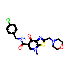 Cn1cc(C(=O)NCc2ccc(Cl)cc2)c(=O)c2nc(CN3CCOCC3)sc21